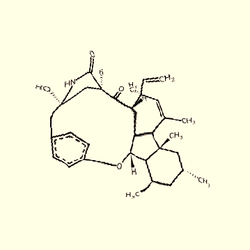 C=C[C@@]1(C)C=C(C)C2C3[C@@H](Oc4ccc(cc4)C[C@]4(O)C[C@@H](C(=O)N4)C(=O)[C@@H]31)C1[C@H](C)C[C@@H](C)C[C@@]21C